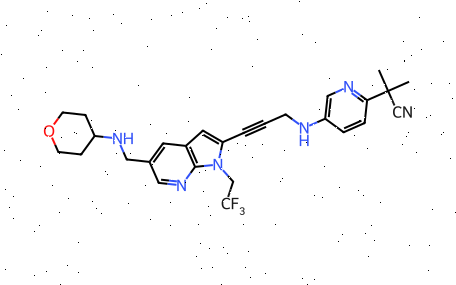 CC(C)(C#N)c1ccc(NCC#Cc2cc3cc(CNC4CCOCC4)cnc3n2CC(F)(F)F)cn1